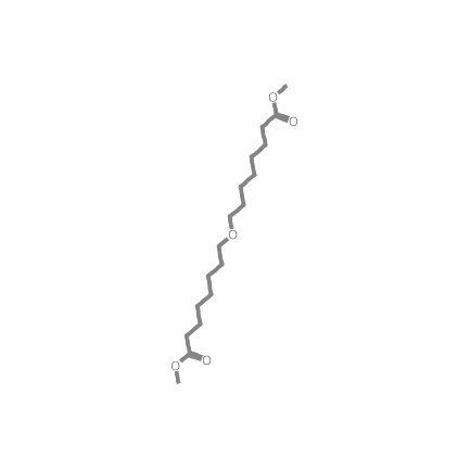 COC(=O)CCCCCCCOCCCCCCCC(=O)OC